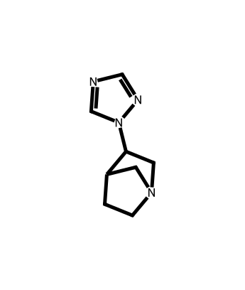 c1ncn(C2CN3CCC2C3)n1